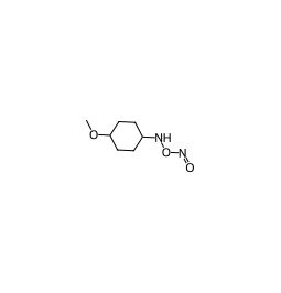 COC1CCC(NON=O)CC1